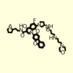 CN1CCCC1CCNC(=O)c1cn2c3c(c(N4CC[C@@H](NOCCCNCCCN5CCOCC5)C4)c(F)cc3c1=O)Oc1cc3c(cc1-2)oc1ccccc13